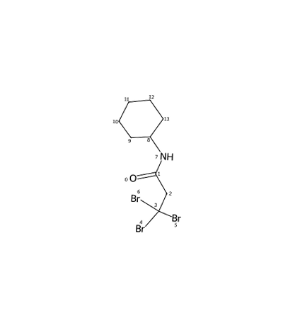 O=C(CC(Br)(Br)Br)NC1CCCCC1